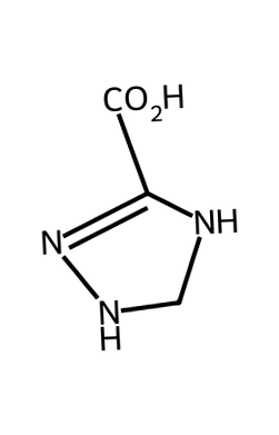 O=C(O)C1=NNCN1